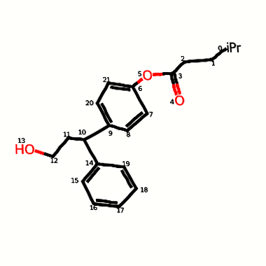 CC(C)CCC(=O)Oc1ccc(C(CCO)c2ccccc2)cc1